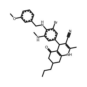 CCCC1CC(=O)C2=C(C1)NC(C)=C(C#N)C2c1cc(Br)c(NCc2cccc(OC)c2)c(NC)c1